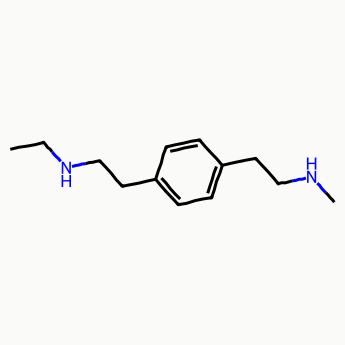 CCNCCc1ccc(CCNC)cc1